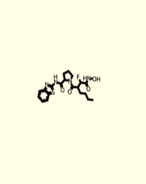 CCCCC(C(=O)N1CCCC1C(=O)Nc1nc2ccccc2s1)C(F)C(=O)NO